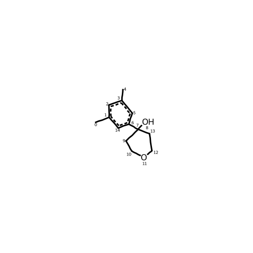 Cc1cc(C)cc(C2(O)CCOCC2)c1